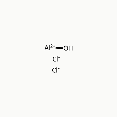 [Cl-].[Cl-].[OH][Al+2]